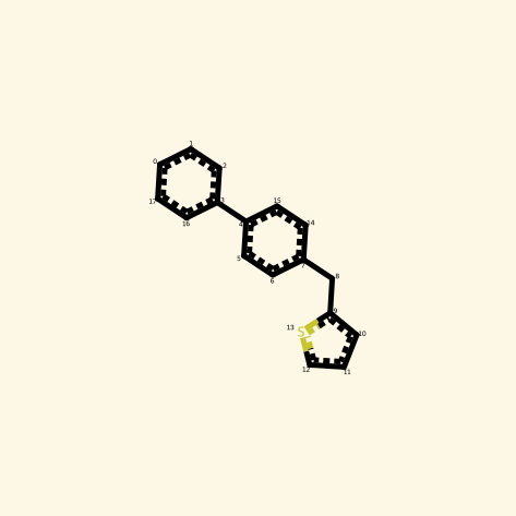 c1ccc(-c2ccc(Cc3cccs3)cc2)cc1